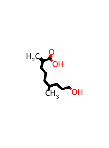 C=C(CCCC(C)CCCO)C(=O)O